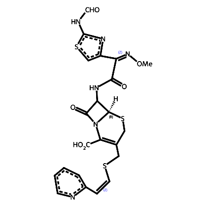 CO/N=C(\C(=O)NC1C(=O)N2C(C(=O)O)=C(CS/C=C\c3ccccn3)CS[C@H]12)c1csc(NC=O)n1